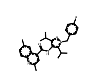 Cc1ccc2nc(C)cc(C(=O)Nc3c(C(C)C)nn(Cc4ccc(F)cc4)c3C(C)C)c2c1